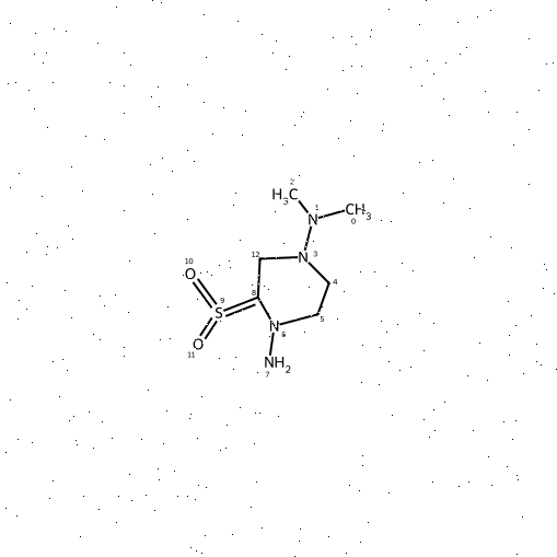 CN(C)N1CCN(N)C(=S(=O)=O)C1